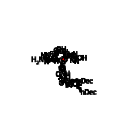 CCCCCCCCCCCCCC(=O)OC(CCCCCCCCCCC)CC(=O)N[C@H](C(=O)N[C@@H](C)C(=O)Nc1ccc(CSP2(=O)OC[C@H]3O[C@@H](n4cnc5c(N)ncnc54)[C@H](F)[C@@H]3OP(=O)(O)OC[C@H]3O[C@@H](n4cnc5c(O)ncnc54)C[C@@H]32)cc1)C(C)C